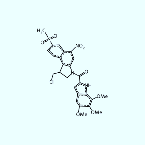 COc1cc2cc(C(=O)N3CC(CCl)c4c3cc([N+](=O)[O-])c3cc(S(C)(=O)=O)ccc43)[nH]c2c(OC)c1OC